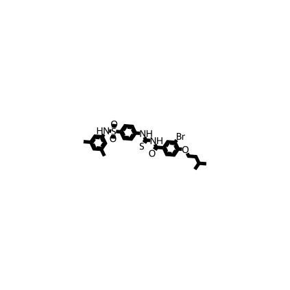 Cc1cc(C)cc(NS(=O)(=O)c2ccc(NC(=S)NC(=O)c3ccc(OCCC(C)C)c(Br)c3)cc2)c1